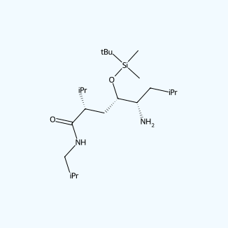 CC(C)CNC(=O)[C@@H](C[C@H](O[Si](C)(C)C(C)(C)C)[C@@H](N)CC(C)C)C(C)C